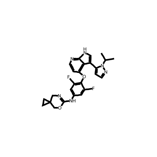 CC(C)n1nccc1-c1c[nH]c2nccc(Oc3c(F)cc(NC4=NCC5(CC5)CO4)cc3F)c12